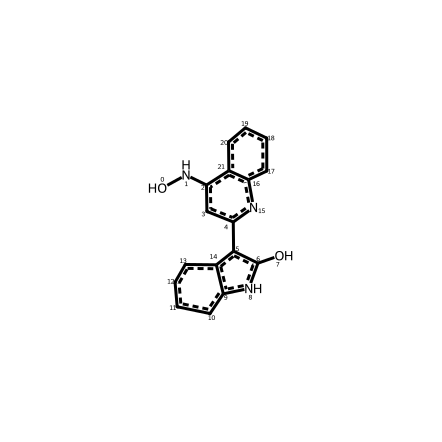 ONc1cc(-c2c(O)[nH]c3ccccc23)nc2ccccc12